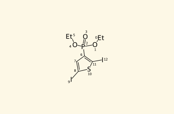 CCOP(=O)(OCC)c1cc(I)sc1I